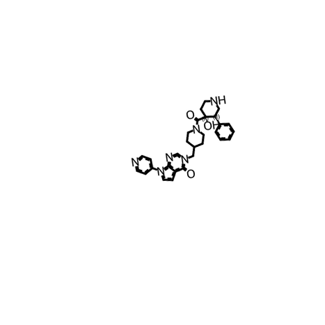 O=C(N1CCC(Cn2cnc3c(ccn3-c3ccncc3)c2=O)CC1)[C@@]1(O)CCNC[C@H]1c1ccccc1